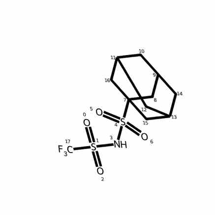 O=S(=O)(NS(=O)(=O)C12CC3CC(CC(C3)C1)C2)C(F)(F)F